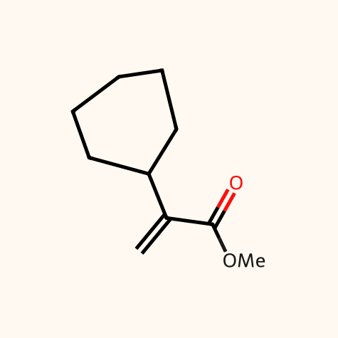 C=C(C(=O)OC)C1CCCCC1